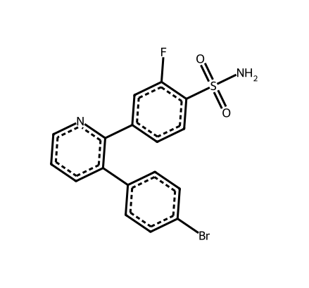 NS(=O)(=O)c1ccc(-c2ncccc2-c2ccc(Br)cc2)cc1F